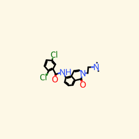 CN(C)CCn1ccc2c(NC(=O)c3cc(Cl)ccc3Cl)cccc2c1=O